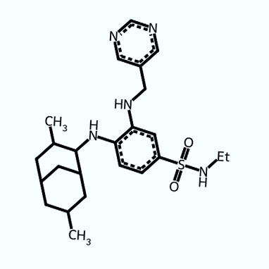 CCNS(=O)(=O)c1ccc(NC2C(C)CC3CC(C)CC2C3)c(NCc2cncnc2)c1